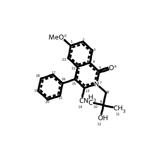 COc1ccc2c(=O)n(CC(C)(C)O)c(C#N)c(-c3ccccc3)c2c1